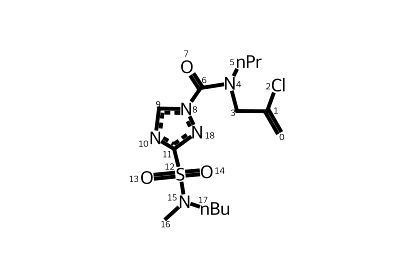 C=C(Cl)CN(CCC)C(=O)n1cnc(S(=O)(=O)N(C)CCCC)n1